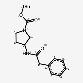 CC(C)(C)OC(=O)N1CCC(NC(=O)Cc2ccccc2)C1